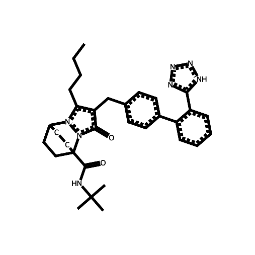 CCCCc1c(Cc2ccc(-c3ccccc3-c3nnn[nH]3)cc2)c(=O)n2n1C1CCC2(C(=O)NC(C)(C)C)CC1